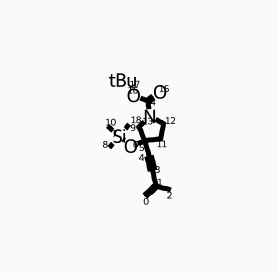 C=C(C)C#CC1(O[Si](C)(C)C)CCN(C(=O)OC(C)(C)C)C1